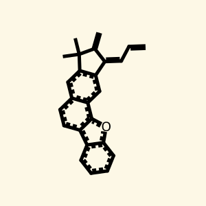 C=C/C=C1\C(=C)C(C)(C)c2cc3ccc4c5ccccc5oc4c3cc21